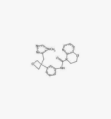 Cn1cnnc1CC1(c2cccc(NC(=O)N3CCOc4cccnc43)c2)COC1